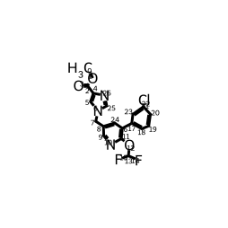 COC(=O)c1cn(Cc2cnc(OC(F)F)c(-c3cccc(Cl)c3)c2)cn1